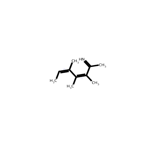 C/C=C(C)\C(C)=C(\C)C(C)=N